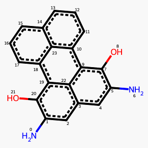 Nc1cc2cc(N)c(O)c3c4cccc5cccc(c(c1O)c23)c54